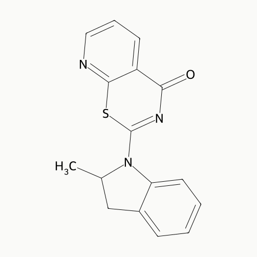 CC1Cc2ccccc2N1c1nc(=O)c2cccnc2s1